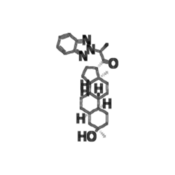 C[C@@H](C(=O)[C@H]1CC[C@H]2[C@@H]3CC[C@@H]4C[C@](C)(O)CC[C@@H]4[C@H]3CC[C@]12C)n1nc2ccccc2n1